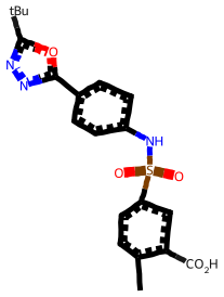 Cc1ccc(S(=O)(=O)Nc2ccc(-c3nnc(C(C)(C)C)o3)cc2)cc1C(=O)O